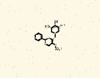 O=S(=O)(O)OC1COC(c2ccccc2)O[C@@H]1CN1C[C@@H](O)[C@H](O)[C@@H](O)C1